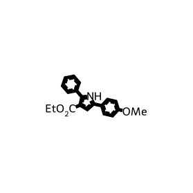 CCOC(=O)c1cc(-c2ccc(OC)cc2)[nH]c1-c1ccccc1